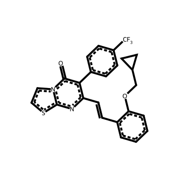 O=c1c(-c2ccc(C(F)(F)F)cc2)c(C=Cc2ccccc2OCC2CC2)nc2sccn12